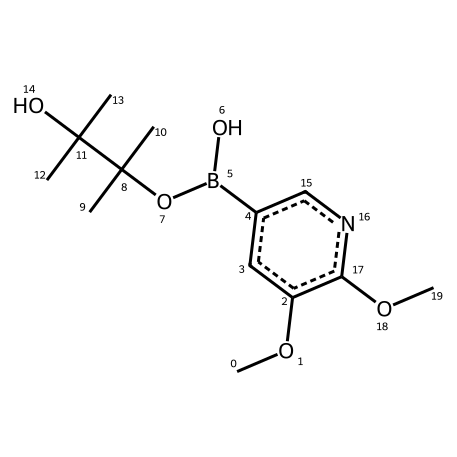 COc1cc(B(O)OC(C)(C)C(C)(C)O)cnc1OC